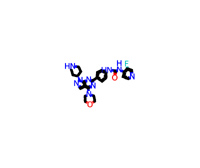 O=C(Nc1ccc(-c2nc(N3CCOCC3)c3cnn(C4CCNCC4)c3n2)cc1)Nc1ccncc1F